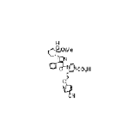 COC[C@]1(O)CCCC[C@H]1n1cnc(C(=O)N2CCN(C(=O)O)C[C@H]2CCOc2ccc(C#N)cn2)c1-c1ccccc1